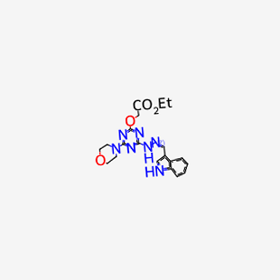 CCOC(=O)COc1nc(N/N=C\c2c[nH]c3ccccc23)nc(N2CCOCC2)n1